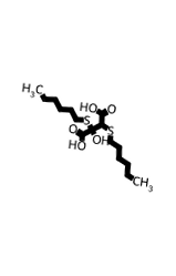 CCCCCCSC(C(=O)O)C(O)(SCCCCCC)C(=O)O